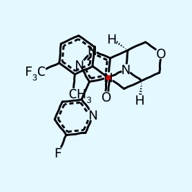 Cc1c(C(=O)N2[C@H]3COC[C@@H]2c2nnc(-c4ccc(F)cn4)n2C3)cccc1C(F)(F)F